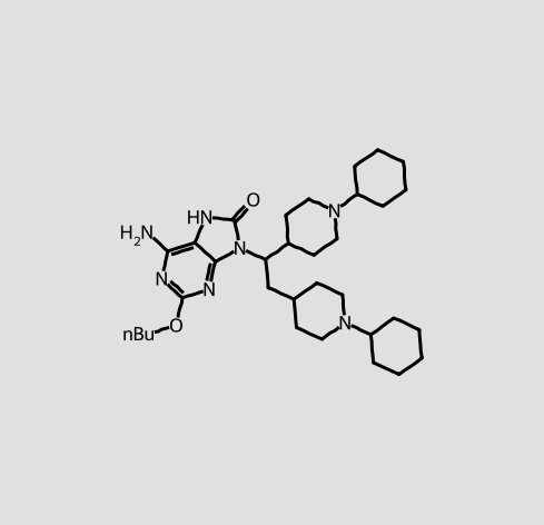 CCCCOc1nc(N)c2[nH]c(=O)n(C(CC3CCN(C4CCCCC4)CC3)C3CCN(C4CCCCC4)CC3)c2n1